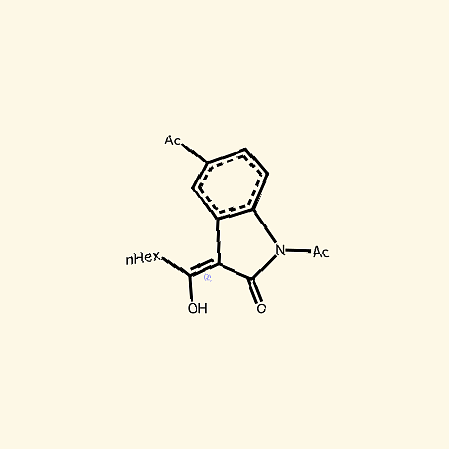 CCCCCC/C(O)=C1/C(=O)N(C(C)=O)c2ccc(C(C)=O)cc21